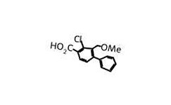 COCc1c(-c2ccccc2)ccc(C(=O)O)c1Cl